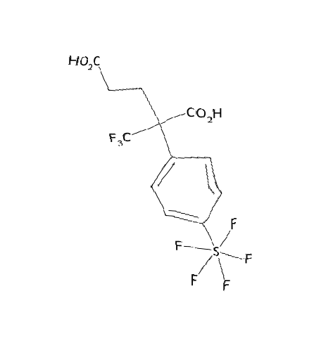 O=C(O)CCC(C(=O)O)(c1ccc(S(F)(F)(F)(F)F)cc1)C(F)(F)F